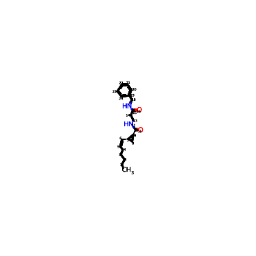 CCCCC/C=C\[C@@H]1C[C@@H]1C(=O)NCCC(=O)NCc1ccccc1